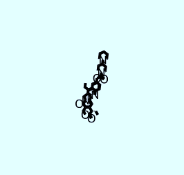 CCc1c2c(nc3ccc(OC(=O)N4CCC(N5CCCCC5)CC4)cc13)-c1cc3c(c(=O)n1C2)COC(=O)[C@H]3CC